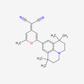 CC1=CC(=C(C#N)C#N)C=C(c2cc3c4c(c2)C(C)(C)CCN4CCC3(C)C)O1